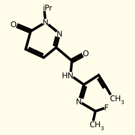 C/C=C\C(=N/C(C)F)NC(=O)c1ccc(=O)n(C(C)C)n1